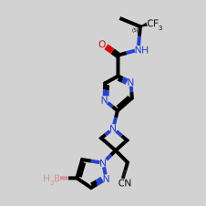 Bc1cnn(C2(CC#N)CN(c3cnc(C(=O)N[C@@H](C)C(F)(F)F)cn3)C2)c1